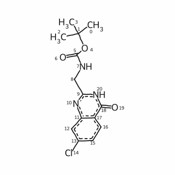 CC(C)(C)OC(=O)NCc1nc2cc(Cl)ccc2c(=O)[nH]1